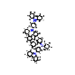 c1ccc(N(c2ccc(-n3c4ccccc4c4ccccc43)cc2)c2ccc3c(c2)C(c2ccccc2)(c2ccccc2)c2cc(N(c4ccccc4)c4ccc(-n5c6ccccc6c6ccccc65)cc4)ccc2-3)cc1